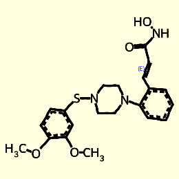 COc1ccc(SN2CCN(c3ccccc3/C=C/C(=O)NO)CC2)cc1OC